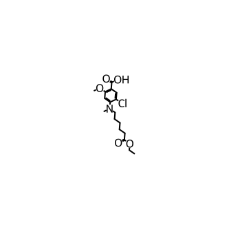 CCOC(=O)CCCCCN(C)c1cc(OC)c(C(=O)O)cc1Cl